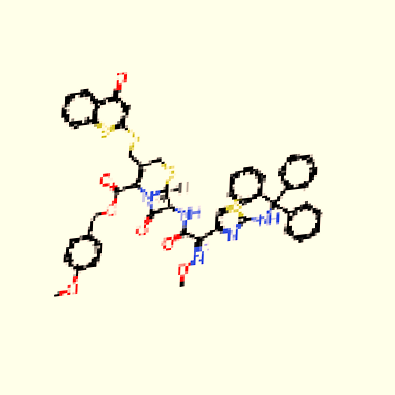 CO/N=C(\C(=O)NC1C(=O)N2C(C(=O)OCc3ccc(OC)cc3)=C(CSc3cc(=O)c4ccccc4s3)CS[C@H]12)c1csc(NC(c2ccccc2)(c2ccccc2)c2ccccc2)n1